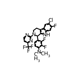 CN(C)c1ccc(C2c3[nH]c4cc(F)c(Cl)cc4c3CCN2c2nccc(C(F)(F)F)n2)c(F)c1F